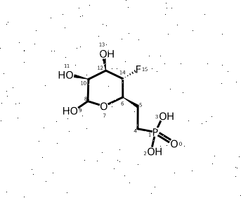 O=P(O)(O)CC[C@H]1OC(O)[C@@H](O)[C@@H](O)[C@@H]1F